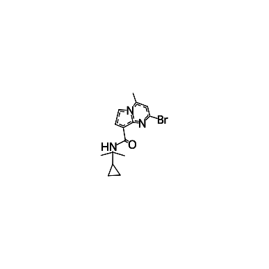 Cc1cc(Br)nc2c(C(=O)NC(C)(C)C3CC3)ccn12